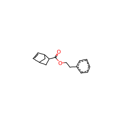 O=C(OCCc1ccccc1)C1CC2C=CC1C2